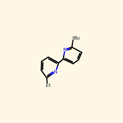 CCc1cccc(-c2cccc(C(C)(C)C)n2)n1